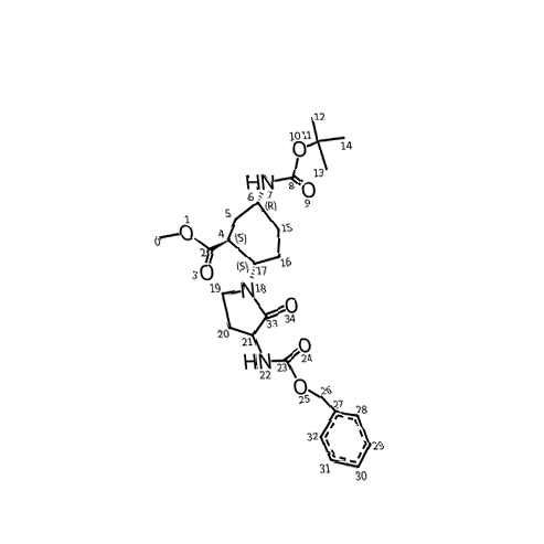 COC(=O)[C@H]1C[C@H](NC(=O)OC(C)(C)C)CC[C@@H]1N1CCC(NC(=O)OCc2ccccc2)C1=O